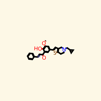 COc1cc(-c2cc3c(s2)CCN(CC2CC2)C3)cc(C(=O)/C=C/c2ccccc2)c1O